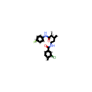 C=C(CCNC(=O)c1ccc(C)c(Cl)c1)[C@H](C)C(=O)Nc1ccc(F)cc1